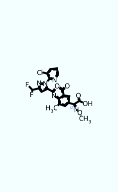 CO/N=C(\C(=O)O)c1cc(C)c2nc(-c3cc(C(F)F)nn3-c3ncccc3Cl)oc(=O)c2c1